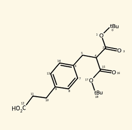 CC(C)(C)OC(=O)C(Cc1ccc(CCC(=O)O)cc1)C(=O)OC(C)(C)C